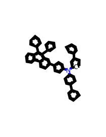 c1ccc(-c2ccc(N(c3ccc(-c4ccc5c(c4)c(-c4ccccc4)c(-c4ccccc4)c4ccccc45)cc3)c3cccc(-c4ccccc4)c3)cc2)cc1